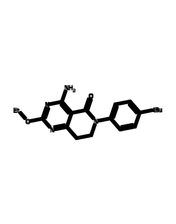 CCOc1nc(N)c2c(n1)CCN(c1ccc(C(C)(C)C)cc1)C2=O